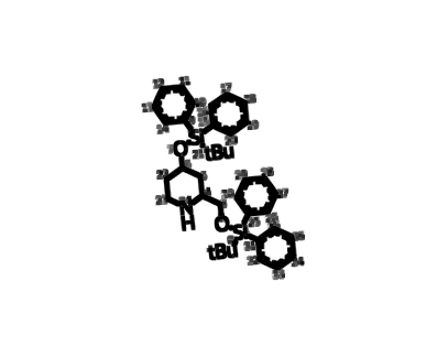 CC(C)(C)[Si](OCC1CC(O[Si](c2ccccc2)(c2ccccc2)C(C)(C)C)CCN1)(c1ccccc1)c1ccccc1